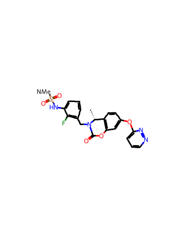 CNS(=O)(=O)Nc1cccc(CN2C(=O)Oc3cc(Oc4cccnn4)ccc3[C@H]2C)c1F